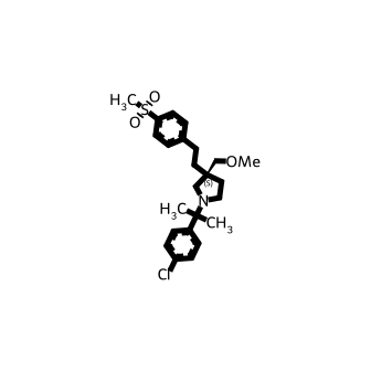 COC[C@@]1(CCc2ccc(S(C)(=O)=O)cc2)CCN(C(C)(C)c2ccc(Cl)cc2)C1